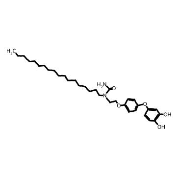 CCCCCCCCCCCCCCCCCCN(CCOc1ccc(Oc2ccc(O)c(O)c2)cc1)C(N)=O